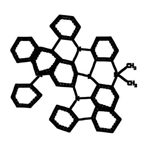 C[Si]1(C)c2cccc3c2B2c4c(cc(N(c5ccccc5)c5ccccc5)cc4N(c4ccccc4-c4ccccc4)c4cccc1c42)N3c1ccccc1-c1ccccc1